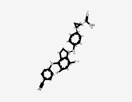 N#Cc1ccc(Oc2c(F)cc(F)c3c2CC[C@H]3Oc2ccc([C@H]3C[C@@H]3C(=O)O)cc2)cc1